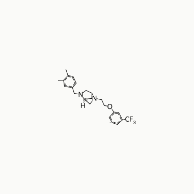 Cc1ccc(CN2CC3C[C@H]2CN3CCOc2c[c]cc(C(F)(F)F)c2)cc1C